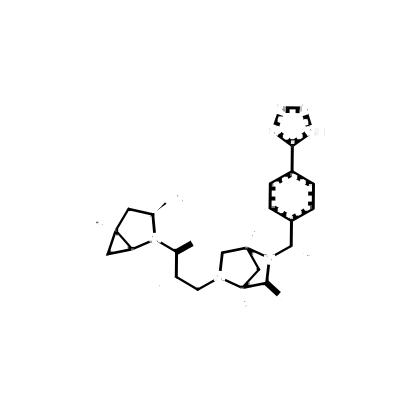 C[C@@H](CN1C[C@@H]2C[C@H]1C(=O)N2[C@@H](C)c1ccc(-c2nnn[nH]2)cc1)C(=O)N1C2C[C@H]2C[C@H]1C#N